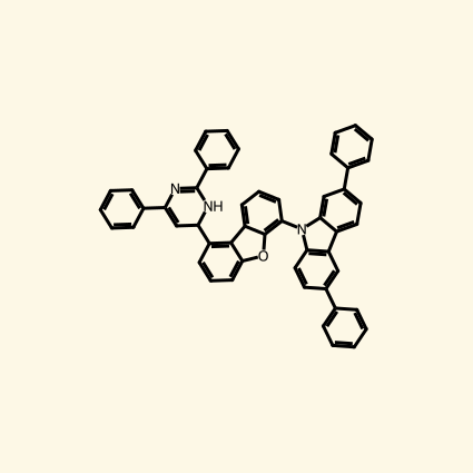 C1=C(c2ccccc2)N=C(c2ccccc2)NC1c1cccc2oc3c(-n4c5ccc(-c6ccccc6)cc5c5ccc(-c6ccccc6)cc54)cccc3c12